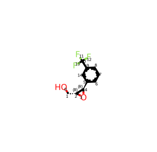 OC[C@H]1O[C@@H]1c1cccc(C(F)(F)F)c1